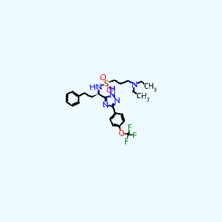 CCN(CC)CCCS(=O)(=O)N[C@H](CCc1ccccc1)c1nc(-c2ccc(OC(F)(F)F)cc2)n[nH]1